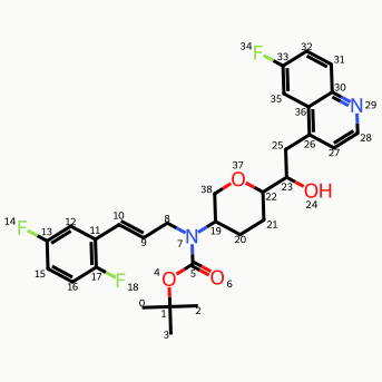 CC(C)(C)OC(=O)N(CC=Cc1cc(F)ccc1F)C1CCC(C(O)Cc2ccnc3ccc(F)cc23)OC1